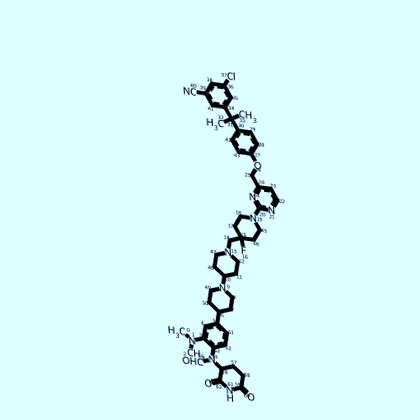 CN(C)c1cc(C2CCN(C3CCN(CC4(F)CCN(c5nccc(COc6ccc(C(C)(C)c7cc(Cl)cc(C#N)c7)cc6)n5)CC4)CC3)CC2)ccc1N(C=O)C1CCC(=O)NC1=O